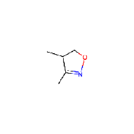 CC1=NOCC1C